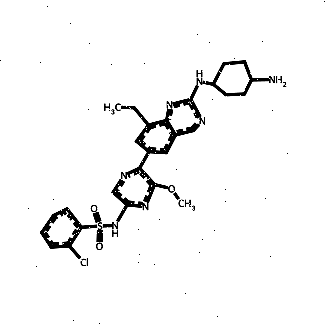 CCc1cc(-c2ncc(NS(=O)(=O)c3ccccc3Cl)nc2OC)cc2cnc(NC3CCC(N)CC3)nc12